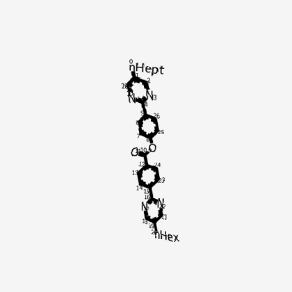 CCCCCCCc1cnc(-c2ccc(OC(=O)c3ccc(-c4ncc(CCCCCC)cn4)cc3)cc2)nc1